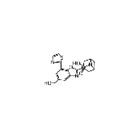 O=C(O)N1C2CC1CN(c1nc3cc(CO)cc(-c4nccs4)c3o1)C2